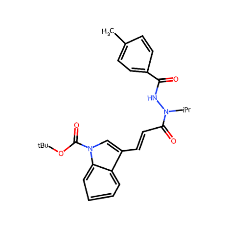 Cc1ccc(C(=O)NN(C(=O)C=Cc2cn(C(=O)OC(C)(C)C)c3ccccc23)C(C)C)cc1